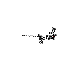 C=C(C)[C@@H]1CC[C@]2(NCCC3(O)CCC(S(C)(=O)=O)CC3)CC[C@]3(C)[C@H](CC[C@@H]4[C@@]5(C)CC=C(C6=CCC(COc7ncccc7C#N)(C(=O)O[C@@H](C)OC(=O)CCCCCCCCCCCCCCCCC)CC6)C(C)(C)[C@@H]5CC[C@]43C)[C@@H]12